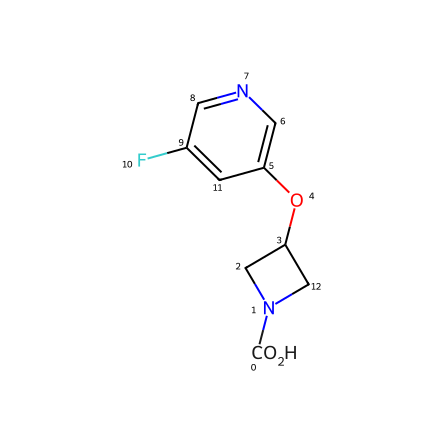 O=C(O)N1CC(Oc2cncc(F)c2)C1